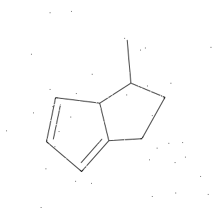 CC1CCC2=CC=CC21